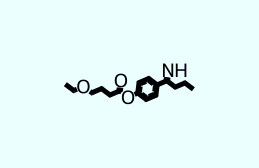 CCCC(=N)c1ccc(OC(=O)CCCOCC)cc1